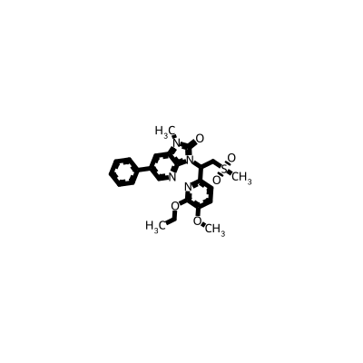 CCOc1nc(C(CS(C)(=O)=O)n2c(=O)n(C)c3cc(-c4ccccc4)cnc32)ccc1OC